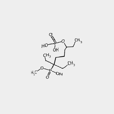 CCC(CCC(CC)(CC)P(=O)(O)OC)OP(=O)(O)O